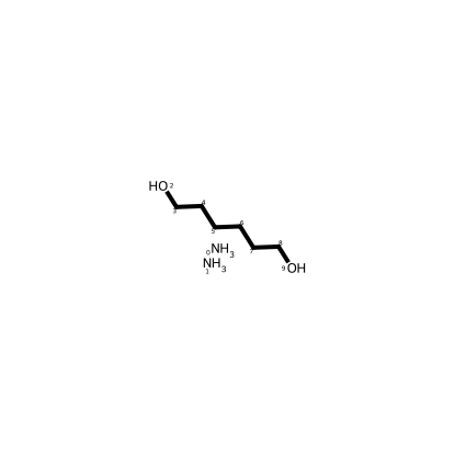 N.N.OCCCCCCO